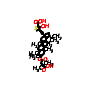 C=C(C)[C@@H]1CC[C@]2(C#Cc3csc(C(=O)O)c3O)CC[C@]3(C)C(CCC4[C@@]5(C)CC[C@H](OC(=O)CC(C)(C)C(=O)O)C(C)(C)C5CC[C@]43C)C12